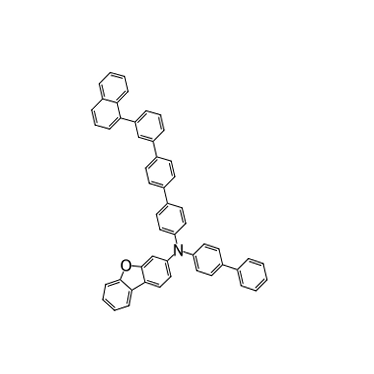 c1ccc(-c2ccc(N(c3ccc(-c4ccc(-c5cccc(-c6cccc7ccccc67)c5)cc4)cc3)c3ccc4c(c3)oc3ccccc34)cc2)cc1